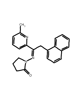 Cc1cccc(C(Cc2cccc3ccccc23)=NN2CCCC2=O)n1